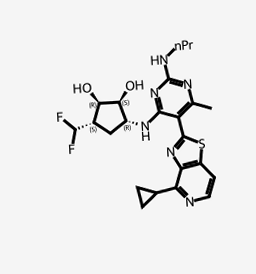 CCCNc1nc(C)c(-c2nc3c(C4CC4)nccc3s2)c(N[C@@H]2C[C@H](C(F)F)[C@@H](O)[C@H]2O)n1